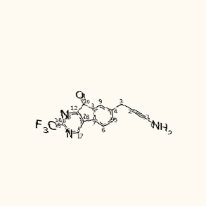 NC#CCc1ccc2c(c1)C(=O)c1nc(C(F)(F)F)ncc1-2